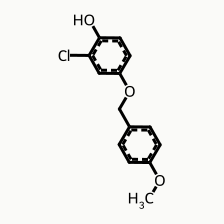 COc1ccc(COc2ccc(O)c(Cl)c2)cc1